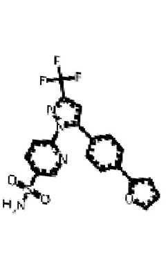 NS(=O)(=O)c1ccc(-n2nc(C(F)(F)F)cc2-c2ccc(-c3ccco3)cc2)nc1